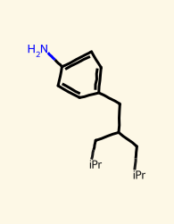 CC(C)CC(Cc1ccc(N)cc1)CC(C)C